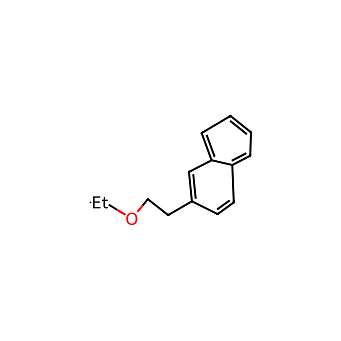 C[CH]OCCc1ccc2ccccc2c1